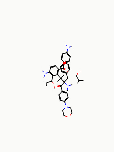 CC(=O)OC(C)CO.CCOC(=O)CC(OCC)c1c(N(CC)CC)ccc(C(=O)c2ccc(N(CC)CC)cc2)c1C(C)(C)C(Cc1ccccc1)(C(=O)c1ccc(N2CCOCC2)cc1)N(C)C